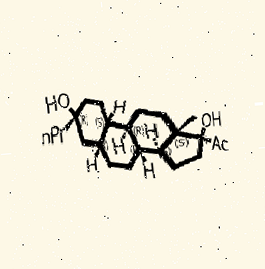 CCC[C@@]1(O)CC[C@H]2[C@H](CC[C@@H]3[C@@H]2CC[C@@]2(C)[C@H]3CC[C@]2(O)C(C)=O)C1